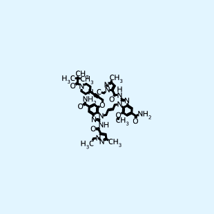 CCn1nc(C)cc1C(=O)Nc1nc2cc(C(N)=O)cc(OC)c2n1CC=CCn1c(NC(=O)c2cc(C)nn2CC)nc2cc(C(N)=O)cc(OCC#CC3CCN(C(=O)C(C)(C)C)CC3)c21